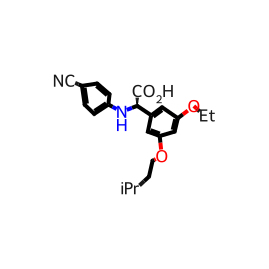 CCOc1cc(OCCC(C)C)cc([C@@H](Nc2ccc(C#N)cc2)C(=O)O)c1